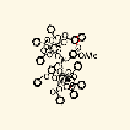 COc1cc(C[C@@H](CO[C@@H]2O[C@H](COC(=O)c3ccccc3)[C@@H](OC(=O)c3ccccc3)[C@H](OC(=O)c3ccccc3)[C@H]2OC(=O)c2ccccc2)[C@@H](CO[C@@H]2O[C@H](COC(=O)c3ccccc3)[C@@H](OC(=O)c3ccccc3)[C@H](OC(=O)c3ccccc3)[C@H]2OC(=O)c2ccccc2)Cc2ccc(OCc3ccccc3)c(OC)c2)ccc1OCc1ccccc1